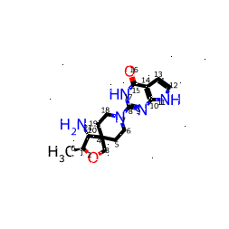 C[C@@H]1OCC2(CCN(c3nc4[nH]c[c]c4c(=O)[nH]3)CC2)[C@@H]1N